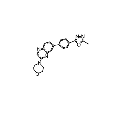 Cc1nnc(-c2ccc(-c3ccc4ncc(N5CCOCC5)nc4c3)cc2)o1